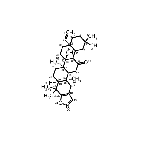 C=C[C@]12CCC(C)(C)CC1C1C(=O)CC3[C@@]4(C)Cc5cnoc5C(C)(C)[C@@H]4CC[C@@]3(C)[C@]1(C)CC2